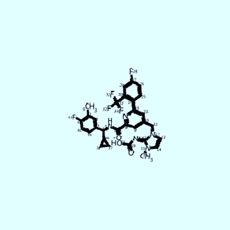 Cc1cc(C(NC(=O)c2cc(Cn3ccn(C)c3=NC(=O)O)cc(-c3ccc(F)cc3C(F)(F)F)n2)C2CC2)ccc1F